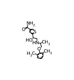 Cc1cccc(C)c1OCC(C)NCC(O)c1cc(C(N)=O)cs1